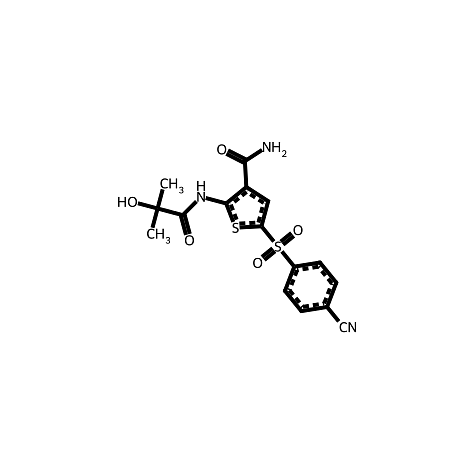 CC(C)(O)C(=O)Nc1sc(S(=O)(=O)c2ccc(C#N)cc2)cc1C(N)=O